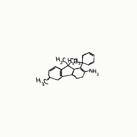 CC1C=CC2=C(C1)C1CCC(N)=C(C3(C)C=CC=CC3)C1C2(C)C